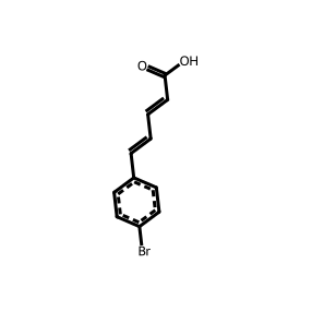 O=C(O)/C=C/C=C/c1ccc(Br)cc1